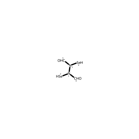 O=CN([SeH])N([SeH])C=O